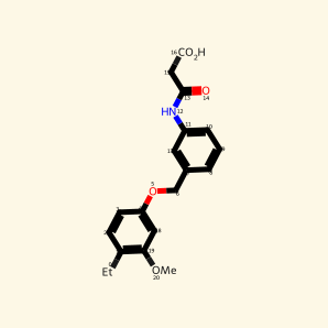 CCc1ccc(OCc2cccc(NC(=O)CC(=O)O)c2)cc1OC